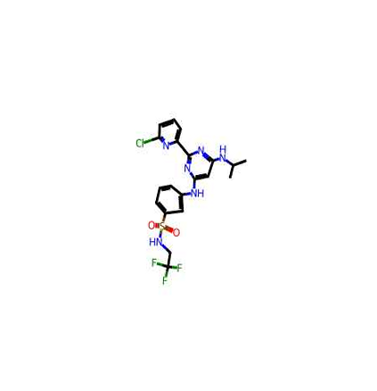 CC(C)Nc1cc(Nc2cccc(S(=O)(=O)NCC(F)(F)F)c2)nc(-c2cccc(Cl)n2)n1